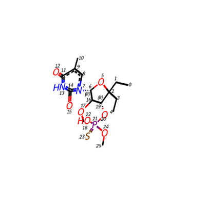 CCC1(CC)O[C@@H](n2cc(C)c(=O)[nH]c2=O)C(OC)[C@H]1OP(O)(=S)OC